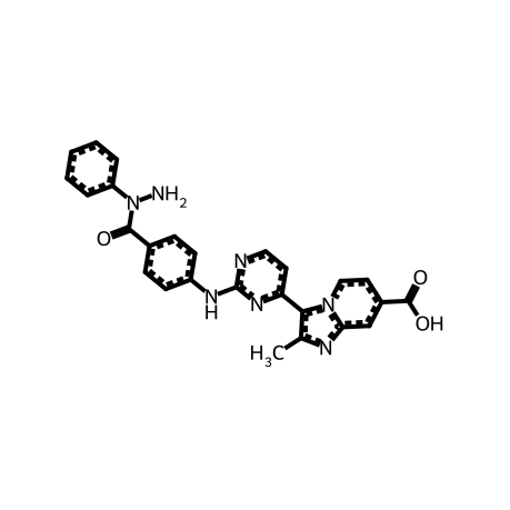 Cc1nc2cc(C(=O)O)ccn2c1-c1ccnc(Nc2ccc(C(=O)N(N)c3ccccc3)cc2)n1